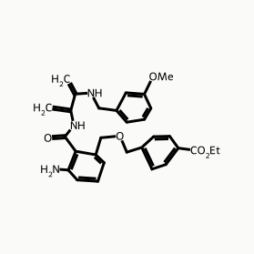 C=C(NCc1cccc(OC)c1)C(=C)NC(=O)c1c(N)cccc1COCc1ccc(C(=O)OCC)cc1